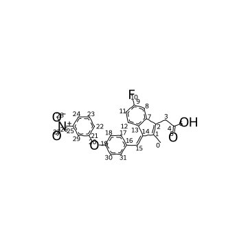 CC1=C(CC(=O)O)c2cc(F)ccc2/C1=C\c1ccc(Oc2cccc([N+](=O)[O-])c2)cc1